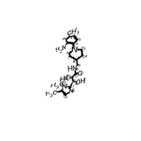 Cc1ccc(N2CCC(CNC(=O)[C@H](O)[C@@H](O)c3ncc(C)n3C)CC2)c(N)c1